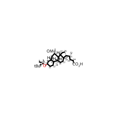 CO[C@@H]1C[C@H]2C[C@H](O[Si](C)(C)C(C)(C)C)CC[C@]2(C)[C@H]2CC[C@]3(C)[C@@H]([C@H](C)CCC(=O)O)CC[C@H]3[C@H]12